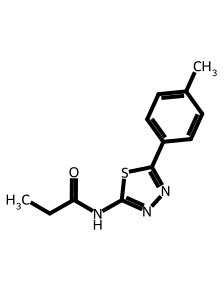 CCC(=O)Nc1nnc(-c2ccc(C)cc2)s1